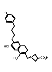 CC1=C(CN2CC(C(=O)O)C2)CCc2cc(OCCCc3ccc(Cl)cc3)ccc21.Cl